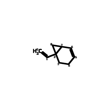 C=[C]C12CCC=CC1C2